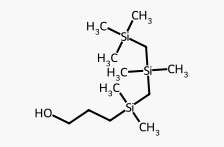 C[Si](C)(C)C[Si](C)(C)C[Si](C)(C)CCCO